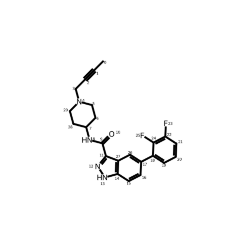 CC#CCN1CCC(NC(=O)c2n[nH]c3ccc(-c4cccc(F)c4F)cc23)CC1